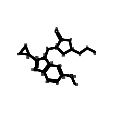 CCCC1CC(=O)N(Cn2c(C3CC3)nc3ccc(OC)cc32)C1